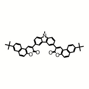 Cn1c2ccc(-c3cc4c(ccc5cc(C(C)(C)C)ccc54)oc3=O)cc2c2cc(-c3cc4c(ccc5cc(C(C)(C)C)ccc54)oc3=O)ccc21